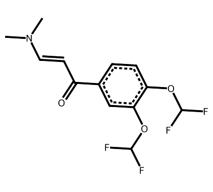 CN(C)C=CC(=O)c1ccc(OC(F)F)c(OC(F)F)c1